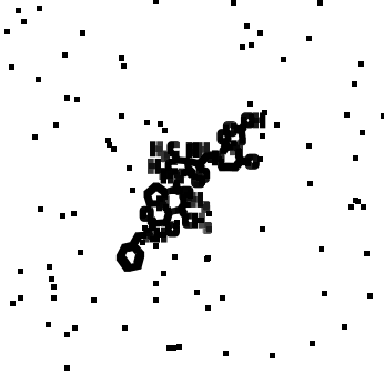 CC(C)[C@@H](C(=O)C(=O)NCc1ccccc1)N1CCC[C@H]1C(=O)NC(=O)[C@](N)(C(=O)Cn1ccc(=O)n(CC(=O)O)c1=O)C(C)C